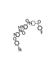 N#Cc1ccc(Oc2ccc(NC(=O)c3ccc(C(=O)N4CCC(C(=O)c5ccc(F)cc5)CC4)cn3)cn2)cc1